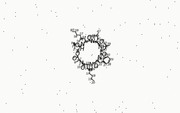 C#CC[C@H]1OC(=O)[C@H](C)N(C)C(=O)[C@H](C[C@H](C)CCCC)NC(=O)[C@H](Cc2ccccc2)N(C)C(=O)[C@H](CC(C)C)NC(=O)[C@H](CC(C)C)N(C)C(=O)[C@H](C[C@H](C)CCCC)NC1=O